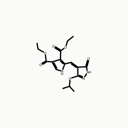 CCOC(=O)c1c[nH]c(C=C2C(=O)NN=C2OC(C)C)c1C(=O)OCC